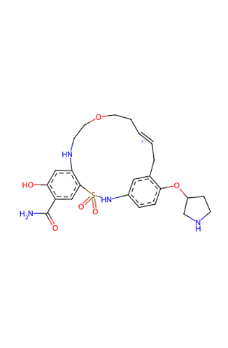 NC(=O)c1cc2c(cc1O)NCCOCC/C=C/Cc1cc(ccc1OC1CCNC1)NS2(=O)=O